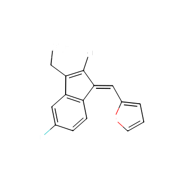 CC1=C(CC(=O)O)c2cc(F)ccc2C1=Cc1ccco1